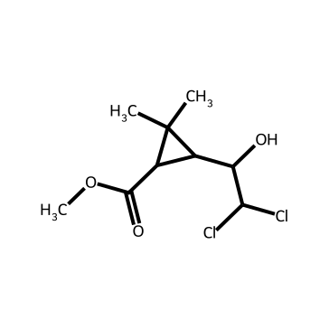 COC(=O)C1C(C(O)C(Cl)Cl)C1(C)C